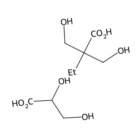 CCC(CO)(CO)C(=O)O.O=C(O)C(O)CO